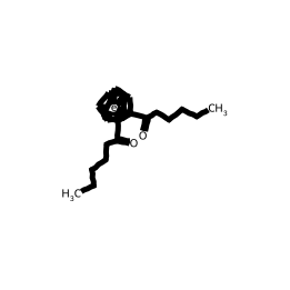 CCCCCC(=O)[C]12[CH]3[CH]4[CH]5[C]1(C(=O)CCCCC)[Fe]43521678[CH]2[CH]1[CH]6[CH]7[CH]28